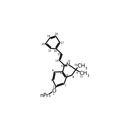 CCCOc1ccc2c(c1)CC(C)(C)N=C2C=Cc1ccccc1